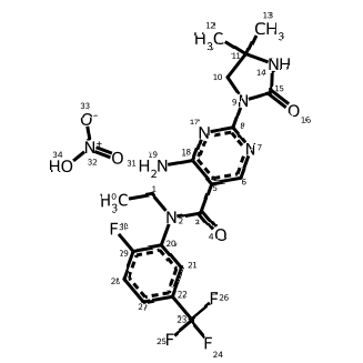 CCN(C(=O)c1cnc(N2CC(C)(C)NC2=O)nc1N)c1cc(C(F)(F)F)ccc1F.O=[N+]([O-])O